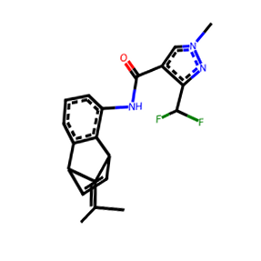 CC(C)=C1C2C=CC1c1c(NC(=O)c3cn(C)nc3C(F)F)cccc12